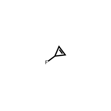 FC1C=C1